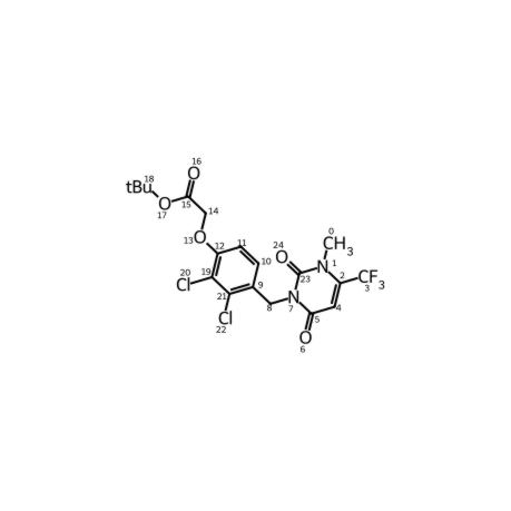 Cn1c(C(F)(F)F)cc(=O)n(Cc2ccc(OCC(=O)OC(C)(C)C)c(Cl)c2Cl)c1=O